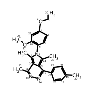 CCOc1ccc(-n2c(C)c3c(C)nnc(-c4ccc(C)cc4)c3c2C)c(OC)c1